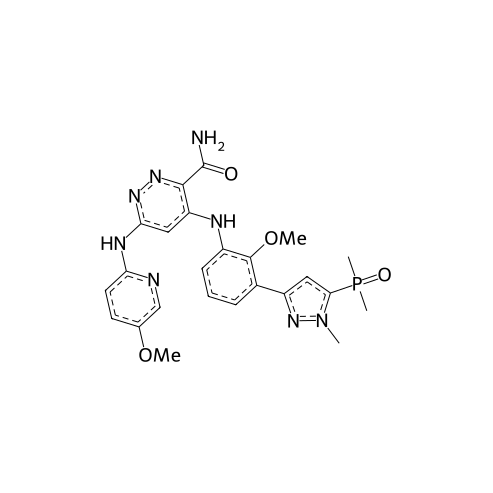 COc1ccc(Nc2cc(Nc3cccc(-c4cc(P(C)(C)=O)n(C)n4)c3OC)c(C(N)=O)nn2)nc1